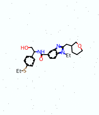 CCSc1ccc(C(CO)NC(=O)c2ccc3c(c2)nc(CC2CCCOC2)n3CC)cc1